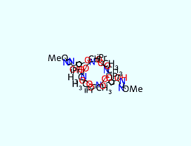 COc1cnc(C(O)c2ccc(C[C@H]3OC(=O)[C@H](CC(C)C)N(C)C(=O)[C@@H](C)OC(=O)[C@H](CC(C)C)N(C)C(=O)[C@@H](Cc4ccc(C(O)c5cnc(OC)cn5)cc4)OC(=O)[C@H](CC(C)C)N(C)C(=O)[C@@H](C)OC(=O)[C@H](CC(C)C)N(C)C3=O)cc2)cn1